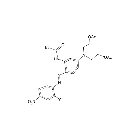 CCC(=O)Nc1cc(N(CCOC(C)=O)CCOC(C)=O)ccc1/N=N/c1ccc([N+](=O)[O-])cc1Cl